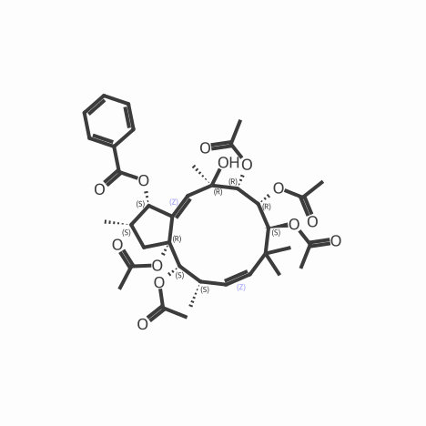 CC(=O)O[C@@H]1[C@@H](OC(C)=O)C(C)(C)/C=C\[C@H](C)[C@H](OC(C)=O)[C@@]2(OC(C)=O)C[C@H](C)[C@H](OC(=O)c3ccccc3)/C2=C/[C@@](C)(O)[C@@H]1OC(C)=O